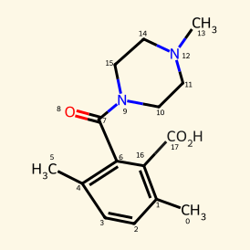 Cc1ccc(C)c(C(=O)N2CCN(C)CC2)c1C(=O)O